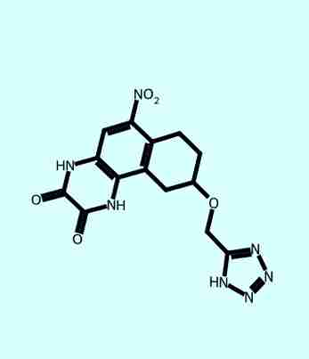 O=c1[nH]c2cc([N+](=O)[O-])c3c(c2[nH]c1=O)CC(OCc1nnn[nH]1)CC3